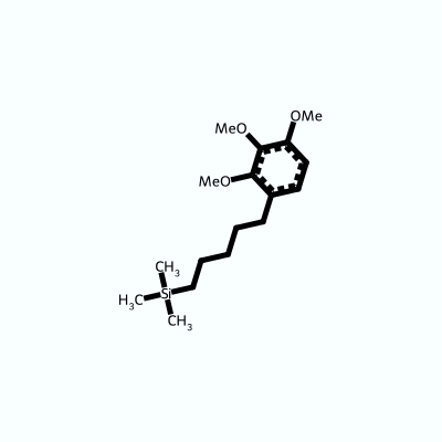 COc1ccc(CCCCC[Si](C)(C)C)c(OC)c1OC